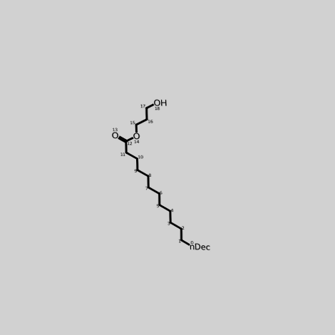 CCCCCCCCCCCCCCCCCCCCCC(=O)OCCCO